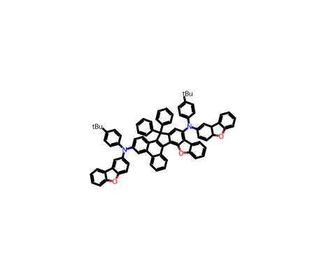 CC(C)(C)c1ccc(N(C2=CC3c4ccccc4OC3C=C2)c2cc3c(c4oc5ccccc5c24)-c2c(c4ccc(N(c5ccc(C(C)(C)C)cc5)c5ccc6oc7ccccc7c6c5)cc4c4ccccc24)C3(c2ccccc2)c2ccccc2)cc1